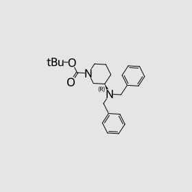 CC(C)(C)OC(=O)N1CCC[C@@H](N(Cc2ccccc2)Cc2ccccc2)C1